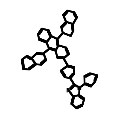 C1=c2ccccc2=CC(c2c3ccccc3c(-c3ccc4ccccc4c3)c3cc(-c4ccc(-c5nc6ccccc6n5-c5ccccc5)cc4)ccc23)C1